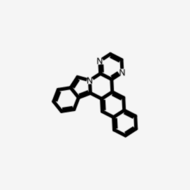 c1ccc2cc3c(cc2c1)c1nccnc1n1cc2ccccc2c31